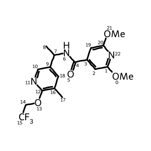 COc1cc(C(=O)NC(C)c2cnc(OCC(F)(F)F)c(C)c2)cc(OC)n1